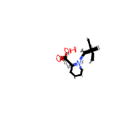 CC(C)(C)CN1CCCCC1C(=O)O